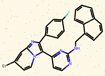 CCc1ccn2c(-c3ccnc(NCc4cccc5ccccc45)n3)c(-c3ccc(F)cc3)nc2c1